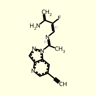 C#Cc1cnc2cnn(/C(C)=N/C=C(/F)C(=C)N)c2c1